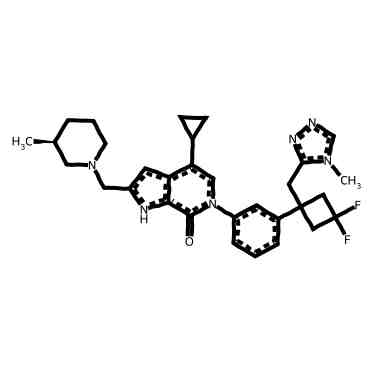 C[C@H]1CCCN(Cc2cc3c(C4CC4)cn(-c4cccc(C5(Cc6nncn6C)CC(F)(F)C5)c4)c(=O)c3[nH]2)C1